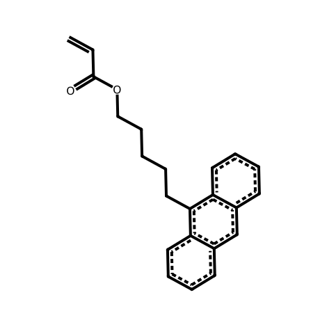 C=CC(=O)OCCCCCc1c2ccccc2cc2ccccc12